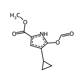 COC(=O)c1cc(C2CC2)c(OC=O)[nH]1